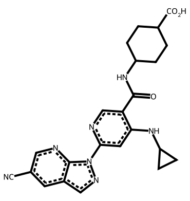 N#Cc1cnc2c(cnn2-c2cc(NC3CC3)c(C(=O)NC3CCC(C(=O)O)CC3)cn2)c1